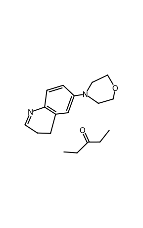 C1=Nc2ccc(N3CCOCC3)cc2CC1.CCC(=O)CC